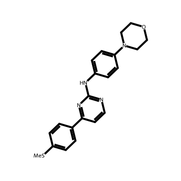 CSc1ccc(-c2ccnc(Nc3ccc(N4CCOCC4)cc3)n2)cc1